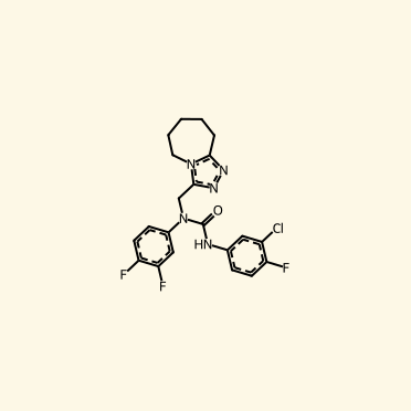 O=C(Nc1ccc(F)c(Cl)c1)N(Cc1nnc2n1CCCCC2)c1ccc(F)c(F)c1